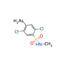 CNS(=O)(=O)c1cc(Cl)c([AsH2])cc1Cl